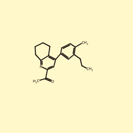 CCCc1cc(-c2cc(C(C)=O)nc3c2CCCC3)ccc1C